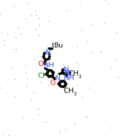 Cc1ccc2c(c1)Nc1c(cnn1C)CN2C(=O)c1ccc(CNC(=O)C2CCN(CCC(C)(C)C)CC2)c(Cl)c1